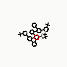 CC(C)(C)c1ccnc(-c2ccc(-c3ccccc3-c3cc(B4OC(C)(C)C(C)(C)O4)cc(-c4ccccc4-c4ccc(-c5cc(C(C)(C)C)ccn5)cc4-c4ccccc4)c3)c(-c3ccccc3)c2)c1